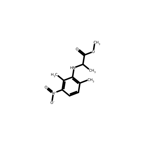 COC(=O)C(C)Nc1c(C)ccc([N+](=O)[O-])c1C